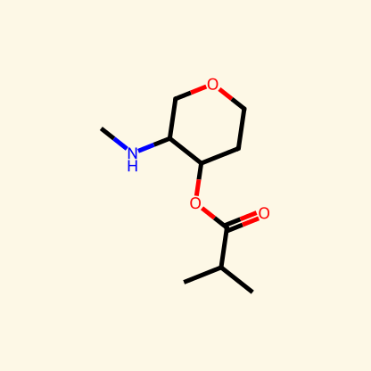 CNC1COCCC1OC(=O)C(C)C